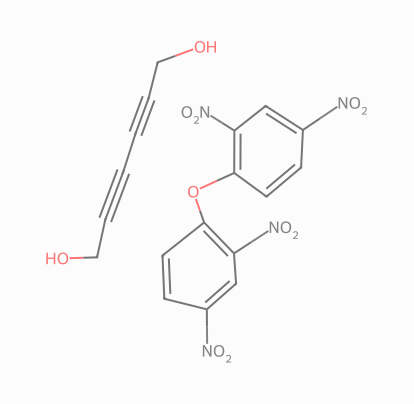 O=[N+]([O-])c1ccc(Oc2ccc([N+](=O)[O-])cc2[N+](=O)[O-])c([N+](=O)[O-])c1.OCC#CC#CCO